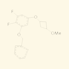 COC1CC(Oc2cc(F)c(F)c(OCc3ccccc3)c2)C1